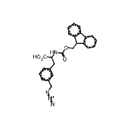 [N-]=[N+]=NCc1cccc(CC(NC(=O)OCC2c3ccccc3-c3ccccc32)C(=O)O)c1